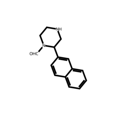 O=CN1CCNCC1c1ccc2ccccc2c1